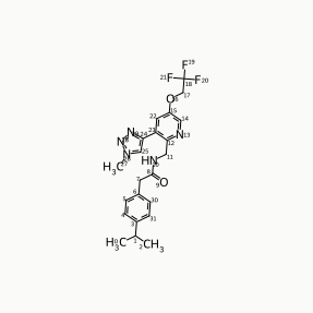 CC(C)c1ccc(CC(=O)NCc2ncc(OCC(F)(F)F)cc2-c2cn(C)nn2)cc1